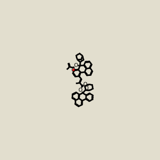 C=C(C)C(=O)OC1(C2CC3CCC2C3)c2cccc(/C=C(\C)C(=O)OC3(C4CC5CCC4O5)c4ccccc4-c4cccc5cccc3c45)c2-c2cccc3cccc1c23